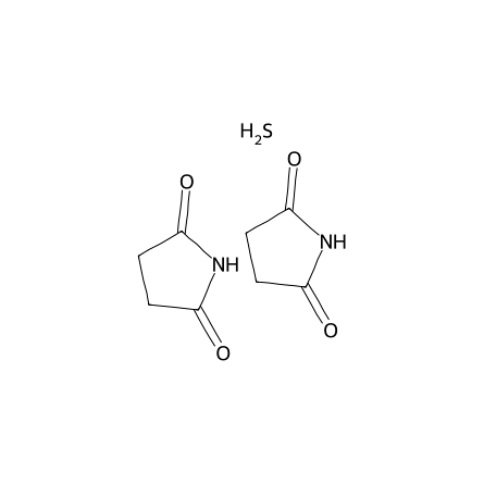 O=C1CCC(=O)N1.O=C1CCC(=O)N1.S